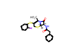 O=C(Cc1ccccc1)N[C@@H]1C(=O)N2C(C(=O)O)=C(Sc3ccccc3I)CS[C@@H]12